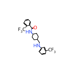 O=C(NC1CCC(CNc2cccc(C(F)(F)F)c2)CC1)c1ccccc1C(F)(F)F